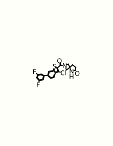 O=C1CCC2(CN(C(=O)c3sc4cc(-c5cc(F)cc(F)c5)ccc4c3Cl)C2)N1